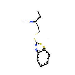 CCC(N)CSc1nc2ccccc2s1.Cl